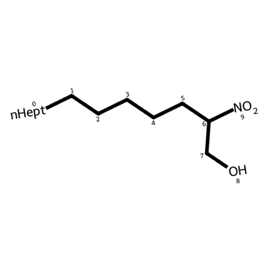 CCCCCCCCCCCCC(CO)[N+](=O)[O-]